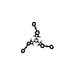 O=C1c2ccc(C#Cc3ccccc3)cc2C(=O)N1c1nc(N2C(=O)c3ccc(C#Cc4ccccc4)cc3C2=O)nc(N2C(=O)c3ccc(C#Cc4ccccc4)cc3C2=O)n1